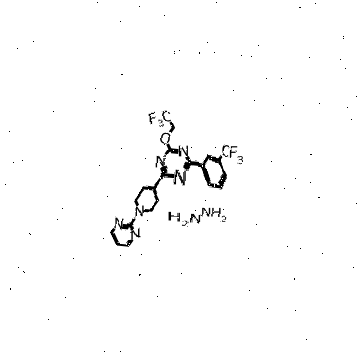 FC(F)(F)COc1nc(-c2cccc(C(F)(F)F)c2)nc(C2CCN(c3ncccn3)CC2)n1.NN